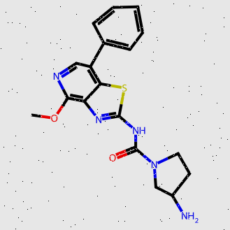 COc1ncc(-c2ccccc2)c2sc(NC(=O)N3CCC(N)C3)nc12